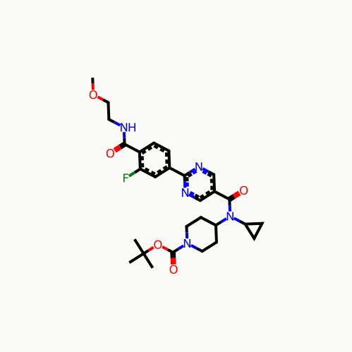 COCCNC(=O)c1ccc(-c2ncc(C(=O)N(C3CC3)C3CCN(C(=O)OC(C)(C)C)CC3)cn2)cc1F